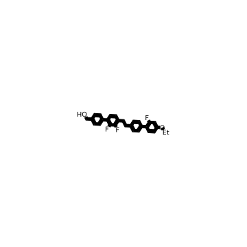 CCOc1ccc(-c2ccc(CCc3ccc(-c4ccc(CO)cc4)c(F)c3F)cc2)c(F)c1